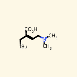 CN(C)CC=C(CC(C)(C)C)C(=O)O